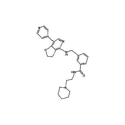 O=C(NCCN1CCCCC1)c1cccc(CNc2ncc(-c3ccncc3)c3c2CCO3)c1